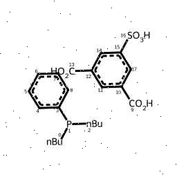 CCCCP(CCCC)c1ccccc1.O=C(O)c1cc(C(=O)O)cc(S(=O)(=O)O)c1